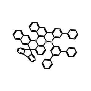 c1ccc(-c2cc(-c3ccccc3)cc(N3B4c5cccc6c5N(c5cc7ccccc7cc5C65c6ccccc6-c6ccccc65)c5c4c(cc4ccccc54)-c4ccc(-c5ccccc5)cc43)c2)cc1